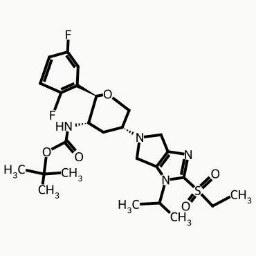 CCS(=O)(=O)c1nc2c(n1C(C)C)CN([C@H]1CO[C@H](c3cc(F)ccc3F)[C@@H](NC(=O)OC(C)(C)C)C1)C2